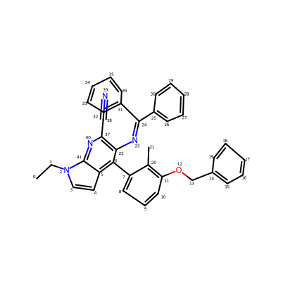 CCn1ccc2c(-c3cccc(OCc4ccccc4)c3C)c(N=C(c3ccccc3)c3ccccc3)c(C#N)nc21